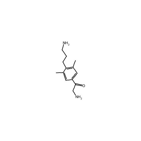 Cc1cc(C(=O)CN)cc(C)c1CCCN